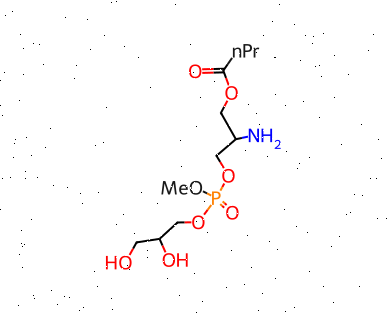 CCCC(=O)OCC(N)COP(=O)(OC)OCC(O)CO